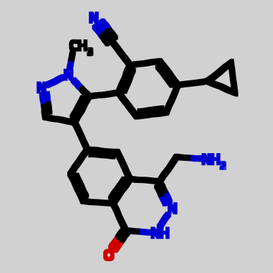 Cn1ncc(-c2ccc3c(=O)[nH]nc(CN)c3c2)c1-c1ccc(C2CC2)cc1C#N